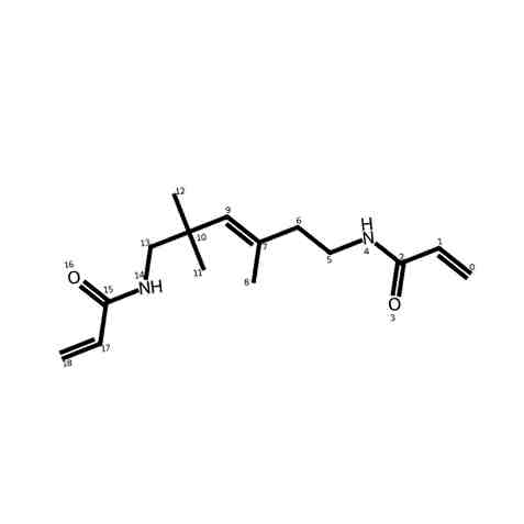 C=CC(=O)NCC/C(C)=C/C(C)(C)CNC(=O)C=C